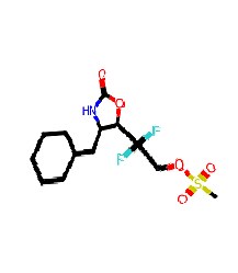 CS(=O)(=O)OCC(F)(F)C1OC(=O)NC1CC1CCCCC1